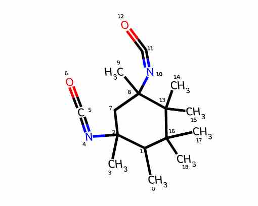 CC1C(C)(N=C=O)CC(C)(N=C=O)C(C)(C)C1(C)C